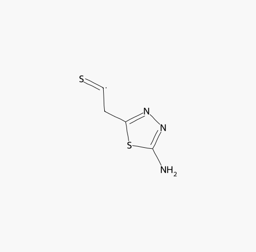 Nc1nnc(C[C]=S)s1